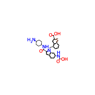 N[C@H]1CC[C@H](NC(=O)c2cc3ccc(NC(=O)O)cc3n2Cc2cccc3sc(C(=O)O)cc23)CC1